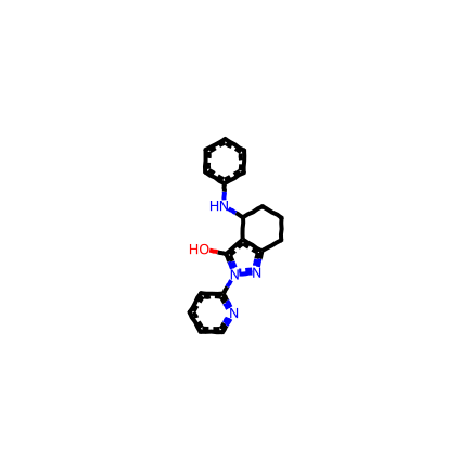 Oc1c2c(nn1-c1ccccn1)CCCC2Nc1ccccc1